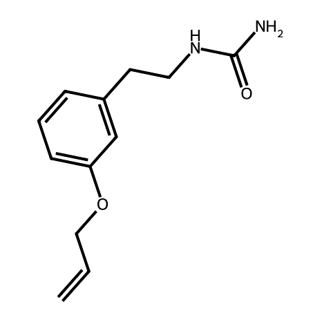 C=CCOc1cccc(CCNC(N)=O)c1